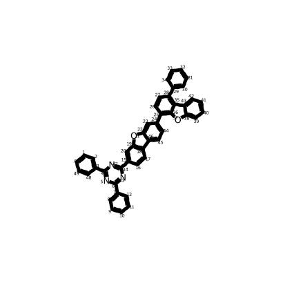 c1ccc(-c2nc(-c3ccccc3)nc(-c3ccc4c(c3)oc3cc(-c5ccc(-c6ccccc6)c6c5oc5ccccc56)ccc34)n2)cc1